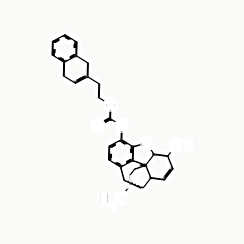 CN1CCC23c4c5ccc(OC(=O)OCCC6=CCc7ccccc7C6)c4OC2C(O)C=CC3C1C5